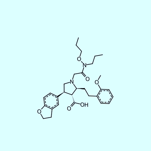 CCCON(CCC)C(=O)CN1C[C@H](c2ccc3c(c2)CCO3)[C@@H](C(=O)O)[C@@H]1CCc1ccccc1OC